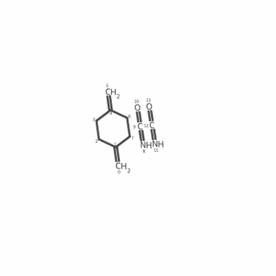 C=C1CCC(=C)CC1.N=C=O.N=C=O